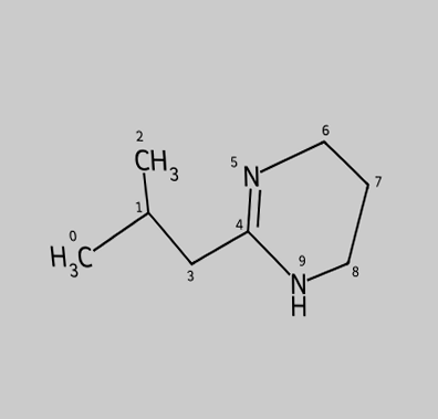 CC(C)CC1=NCCCN1